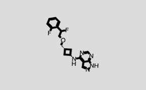 Fc1ccccc1C(F)COC[C@H]1C[C@@H](Nc2ncnc3[nH]ncc23)C1